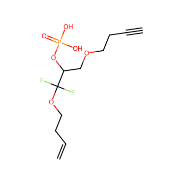 C#CCCOCC(OP(=O)(O)O)C(F)(F)OCCC=C